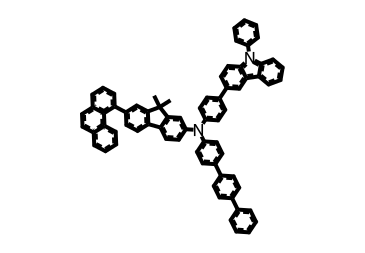 CC1(C)c2cc(-c3cccc4ccc5ccccc5c34)ccc2-c2ccc(N(c3ccc(-c4ccc(-c5ccccc5)cc4)cc3)c3ccc(-c4ccc5c(c4)c4ccccc4n5-c4ccccc4)cc3)cc21